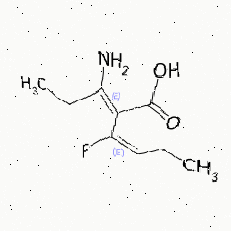 CC/C=C(F)\C(C(=O)O)=C(\N)CC